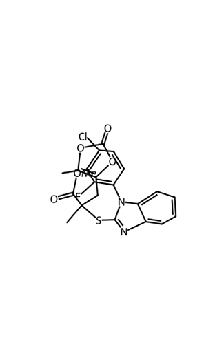 COC(=O)C(C)(Cc1oc(=O)oc1C)Sc1nc2ccccc2n1-c1ccc(Cl)cc1F